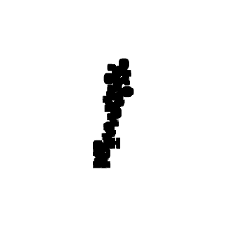 CN1C(=O)CCC(N2Cc3ccc(OCCOCCNC(=O)OC(C)(C)C)cc3C2=O)C1=O